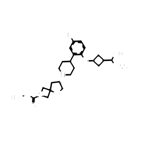 COC(O)C1CC(Oc2ccc(F)cc2C2CCN([C@@H]3COC4(C3)CN(C(=O)OC(C)(C)C)C4)CC2)C1